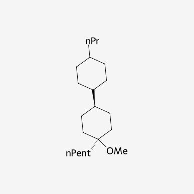 CCCCC[C@]1(OC)CC[C@@H](C2CCC(CCC)CC2)CC1